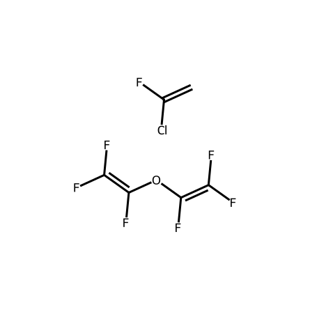 C=C(F)Cl.FC(F)=C(F)OC(F)=C(F)F